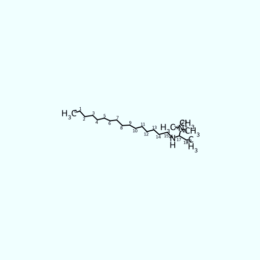 CCCCCCCCCCCCCCCCNC(CC)[N+](C)(C)C